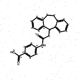 O=C(CC1c2ccccc2CCc2ccccc21)Nc1ccc(C(=O)O)cc1